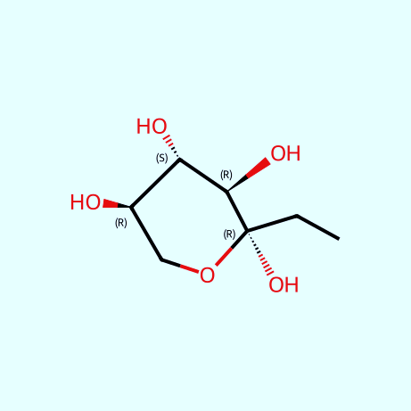 CC[C@@]1(O)OC[C@@H](O)[C@H](O)[C@H]1O